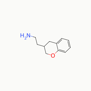 NCCC1COc2ccccc2C1